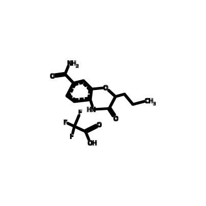 CCCC1Oc2cc(C(N)=O)ccc2NC1=O.O=C(O)C(F)(F)F